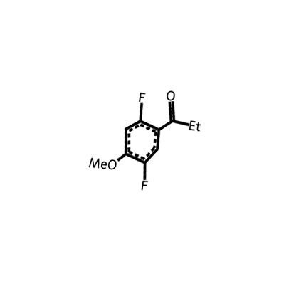 CCC(=O)c1cc(F)c(OC)cc1F